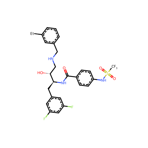 CCc1cccc(CNC[C@@H](O)[C@H](Cc2cc(F)cc(F)c2)NC(=O)c2ccc(NS(=O)(=O)C(F)(F)F)cc2)c1